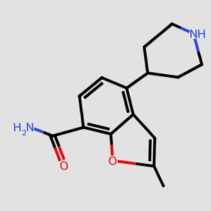 Cc1cc2c(C3CCNCC3)ccc(C(N)=O)c2o1